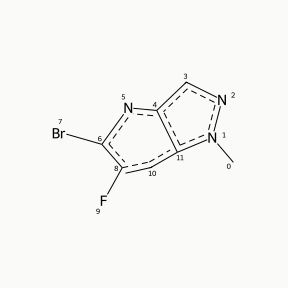 Cn1ncc2nc(Br)c(F)cc21